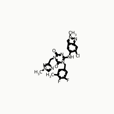 Cc1cc(Cn2c(Nc3cc4cn(C)nc4cc3Cl)nc(=O)n(Cc3ncn(C)n3)c2=O)cc(F)c1F